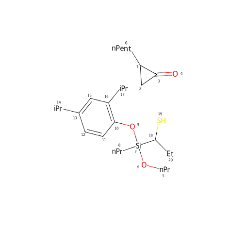 CCCCCC1CC1=O.CCCO[Si](CCC)(Oc1ccc(C(C)C)cc1C(C)C)C(S)CC